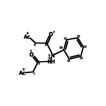 CC(=O)CC(=O)NN(C(=O)CC(C)=O)c1ccccc1